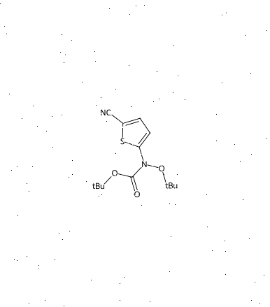 CC(C)(C)OC(=O)N(OC(C)(C)C)c1ccc(C#N)s1